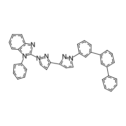 c1ccc(-c2cccc(-c3cccc(-n4ccc(-c5ccn(-c6nc7ccccc7n6-c6ccccc6)n5)n4)c3)c2)cc1